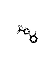 CC(=O)c1cn(-c2ccccc2F)nn1